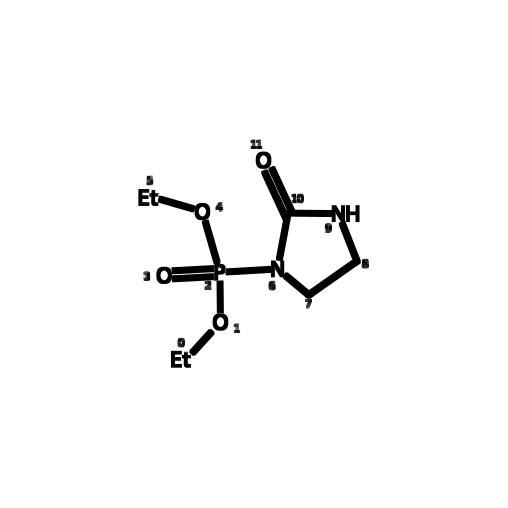 CCOP(=O)(OCC)N1CCNC1=O